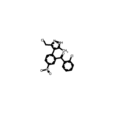 Cc1[nH]nc(CCl)c1-c1ccc([N+](=O)[O-])cc1C(=O)c1ccccc1Cl